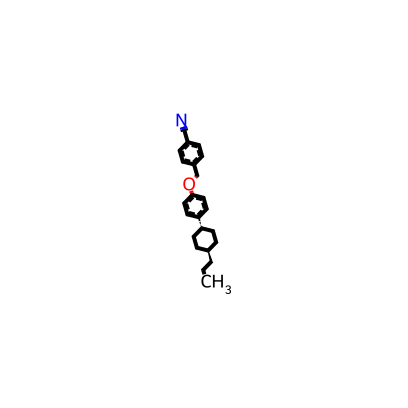 CCC[C@H]1CC[C@H](c2ccc(OCc3ccc(C#N)cc3)cc2)CC1